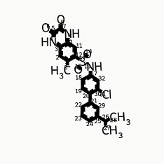 Cc1cc2[nH]c(=O)c(=O)[nH]c2cc1S(=O)(=O)Nc1ccc(-c2cccc(C(C)C)c2)c(Cl)c1